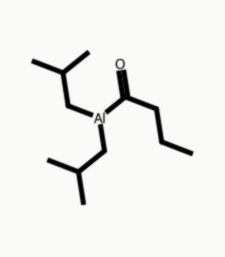 CCC[C](=O)[Al]([CH2]C(C)C)[CH2]C(C)C